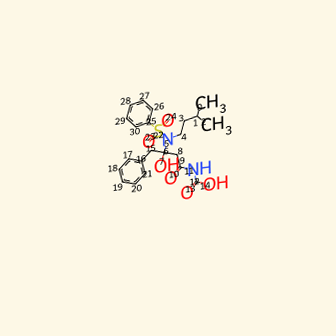 CC(C)CCN(C(O)(CC(=O)NC(=O)O)Cc1ccccc1)S(=O)(=O)c1ccccc1